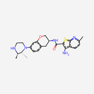 Cc1ccc2c(N)c(C(=O)N[C@@H]3COc4cc(N5CCN[C@H](C)[C@H]5C)ccc4C3)sc2n1